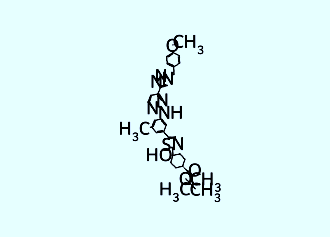 COc1ccc(Cn2cc(-c3ccnc(Nc4cc(C)cc(-c5cnc([C@]6(O)CC[C@@H](C(=O)OC(C)(C)C)CC6)s5)c4)n3)nn2)cc1